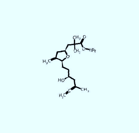 C=C=C(C)C[C@@H](O)CC[C@@H]1O[C@H](CC(C)(C)C(=O)OCCC)CC1=C